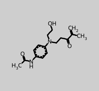 C=C(C)C(=O)CCN(CCO)c1ccc(NC(C)=O)cc1